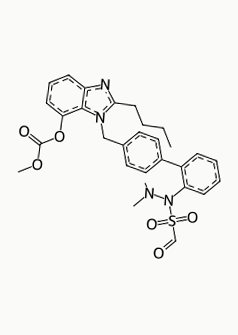 CCCCc1nc2cccc(OC(=O)OC)c2n1Cc1ccc(-c2ccccc2N(N(C)C)S(=O)(=O)C=O)cc1